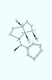 C[C@H](c1ccccc1)N1CC[C@@H]2CC[C@@H](Br)[C@@H]21